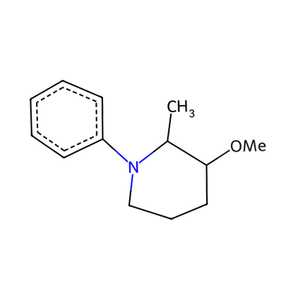 COC1CCCN(c2ccccc2)C1C